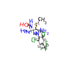 CCSc1c(C(=N)NO)nn(-c2c(Cl)cc(C(F)(F)F)cc2Cl)c1N